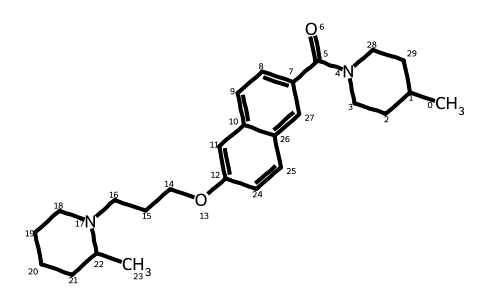 CC1CCN(C(=O)c2ccc3cc(OCCCN4CCCCC4C)ccc3c2)CC1